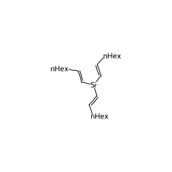 CCCCCCC=C[Si](C=CCCCCCC)C=CCCCCCC